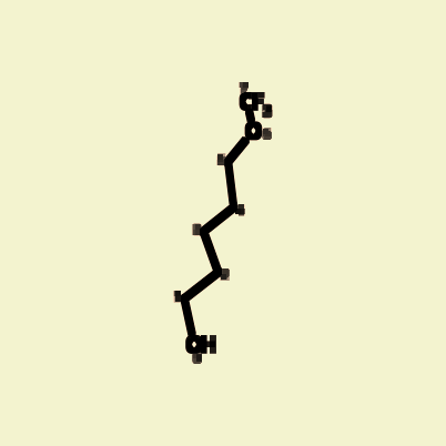 OCCCCCOC(F)(F)F